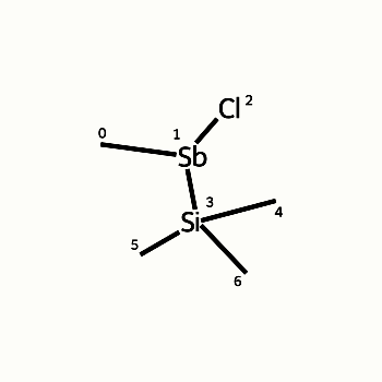 [CH3][Sb]([Cl])[Si](C)(C)C